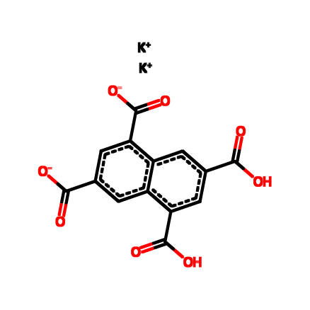 O=C([O-])c1cc(C(=O)[O-])c2cc(C(=O)O)cc(C(=O)O)c2c1.[K+].[K+]